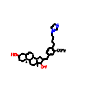 COc1cc(/C=C2\CC3C4CC=C5CC(O)CC[C@]5(C)C4CCC3(C)C2O)ccc1CCCCn1ccnc1